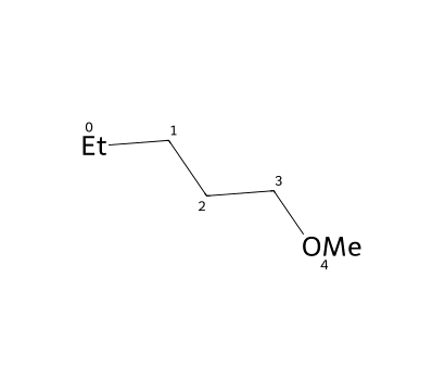 CCCCCOC